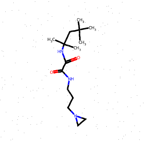 CC(C)(C)CC(C)(C)NC(=O)C(=O)NCCCN1CC1